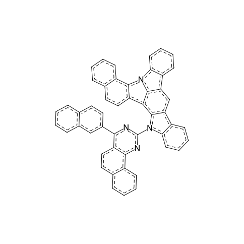 c1ccc2cc(-c3nc(-n4c5ccccc5c5cc6c7ccccc7n7c8c9ccccc9ccc8c(c54)c67)nc4c3ccc3ccccc34)ccc2c1